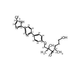 CN(CCCO)C(=O)C(C)(C)COc1ccc(-c2ccc(-c3ncc(C(F)(F)F)[nH]3)cn2)cc1